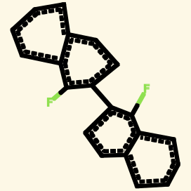 Fc1c(-c2ccc3ccccc3c2F)ccc2ccccc12